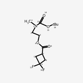 CN(CCOC(=O)C1CC(F)(F)C1)C(=O)OC(C)(C)C